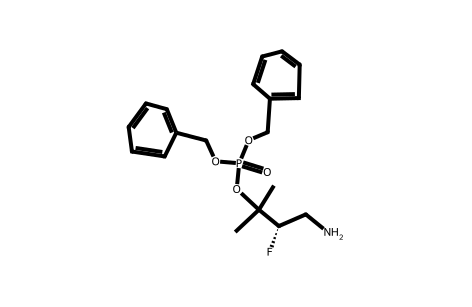 CC(C)(OP(=O)(OCc1ccccc1)OCc1ccccc1)[C@@H](F)CN